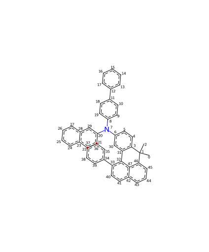 CC1(C)c2ccc(N(c3ccc(-c4ccccc4)cc3)c3ccc4ccccc4c3)cc2-c2c(-c3ccccc3)ccc3cccc1c23